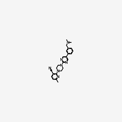 Cc1ccc(C#N)c(N2CCN(c3ncc(-c4cccc(CN(C)C)c4)cn3)CC2)n1